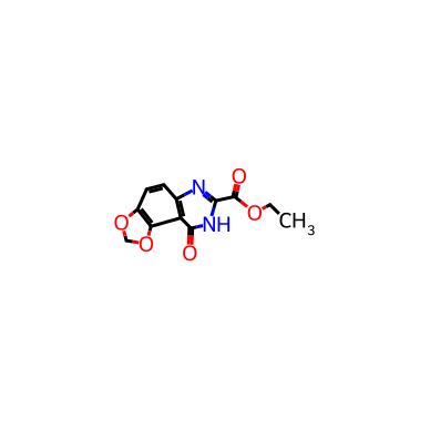 CCOC(=O)c1nc2ccc3c(c2c(=O)[nH]1)OCO3